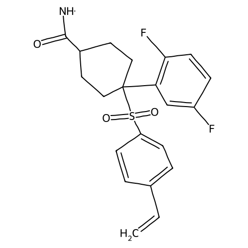 C=Cc1ccc(S(=O)(=O)C2(c3cc(F)ccc3F)CCC(C([NH])=O)CC2)cc1